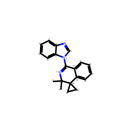 CC1(C)N=C(n2cnc3ccccc32)c2ccccc2C12CC2